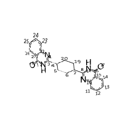 O=c1[nH]c(C2CCC(c3nc4ccccc4c(=O)[nH]3)CC2)nc2ccccc12